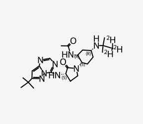 [2H]C([2H])([2H])C(C)(C)N[C@@H]1CC[C@H](N2CC[C@H](Nc3ncnc4cc(C(C)(C)C)nn34)C2=O)[C@H](NC(C)=O)C1